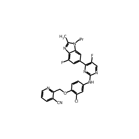 Cc1nc2c(F)cc(-c3nc(Nc4ccc(OCc5ncccc5C#N)c(Cl)c4)ncc3F)cc2n1C(C)C